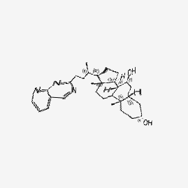 C[C@H](CCc1ncc2cccnc2n1)[C@H]1CC[C@H]2[C@H]3C(CC[C@]12C)[C@@]1(C)CC[C@@H](O)C[C@H]1C[C@@H]3O